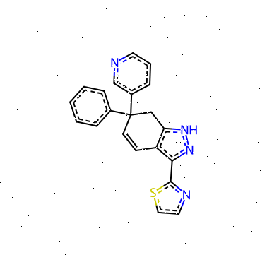 C1=CC(c2ccccc2)(c2cccnc2)Cc2[nH]nc(-c3nccs3)c21